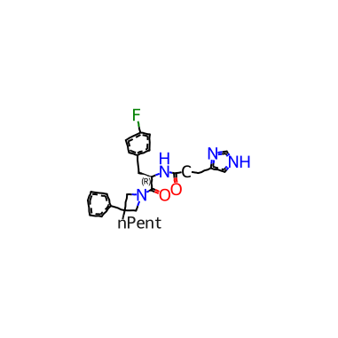 CCCCCC1(c2ccccc2)CN(C(=O)[C@@H](Cc2ccc(F)cc2)NC(=O)CCc2c[nH]cn2)C1